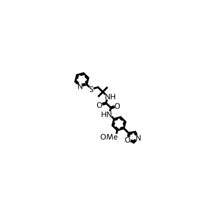 COc1cc(NC(=O)C(=O)NC(C)(C)CSc2ccccn2)ccc1-c1cnco1